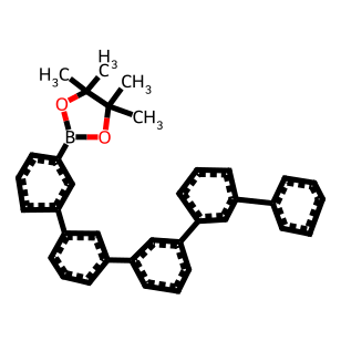 CC1(C)OB(c2cccc(-c3cccc(-c4cccc(-c5cccc(-c6ccccc6)c5)c4)c3)c2)OC1(C)C